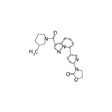 CC1CCCN(C(=O)c2cnn3c(-c4ccc(N5CCOC5=O)nc4)cccc23)C1